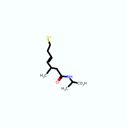 CC(/C=C/CCS)CC(=O)NC(C)C(=O)O